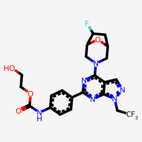 O=C(Nc1ccc(-c2nc(N3CC4CC(F)C(C3)O4)c3cnn(CC(F)(F)F)c3n2)cc1)OCCO